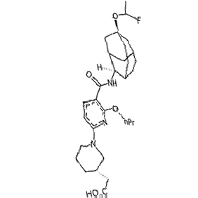 CCCOc1nc(N2CCC[C@@H](CC(=O)O)C2)ccc1C(=O)N[C@H]1C2CC3CC1C[C@@](OC(F)F)(C3)C2